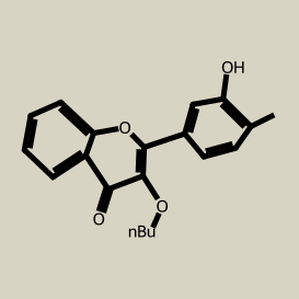 CCCCOc1c(-c2ccc(C)c(O)c2)oc2ccccc2c1=O